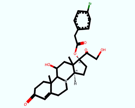 CC12CCC(=O)C=C1CCB1C2C(O)CC2(C)[C@H]1CC[C@]2(OC(=O)Cc1ccc(Br)cc1)C(=O)CO